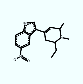 CCC1CC(c2c[nH]c3ccc([N+](=O)[O-])cc23)=CC(C)N1C